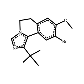 COc1cc2c(cc1Br)-c1c(C(C)(C)C)ncn1CC2